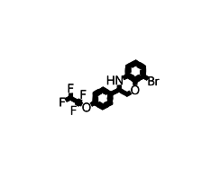 FC(F)C(F)(F)Oc1ccc(C2COc3c(Br)cccc3N2)cc1